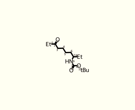 CCC(=O)CCCCC(CC)NC(=O)OC(C)(C)C